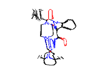 CCCn1nc(C(=O)N[C@@H]2C[C@H]3CC[C@@H](C2)N3CCN2CCN(C(C)=O)CC2)c2ccccc21